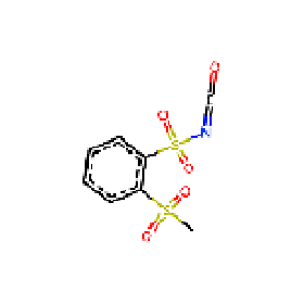 CS(=O)(=O)c1ccccc1S(=O)(=O)N=C=O